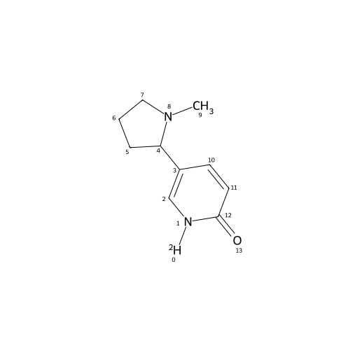 [2H]n1cc(C2CCCN2C)ccc1=O